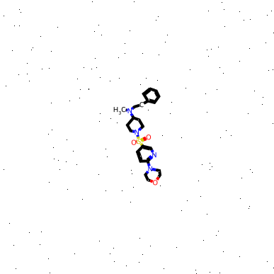 CN(CCc1ccccc1)C1CCN(S(=O)(=O)c2ccc(N3CCOCC3)nc2)CC1